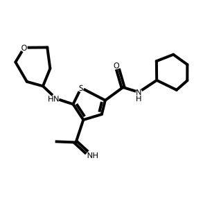 CC(=N)c1cc(C(=O)NC2CCCCC2)sc1NC1CCOCC1